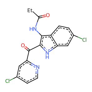 CCC(=O)Nc1c(C(=O)c2cc(Cl)ccn2)[nH]c2cc(Cl)ccc12